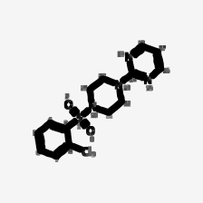 O=S(=O)(c1ccccc1Cl)N1CCN(c2ncccn2)CC1